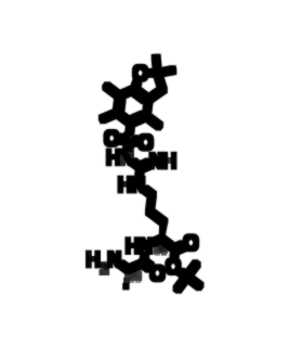 Cc1c(C)c(S(=O)(=O)NC(=N)NCCC[C@H](NC(=O)[C@H](C)N)C(=O)OC(C)(C)C)c(C)c2c1OC(C)(C)C2